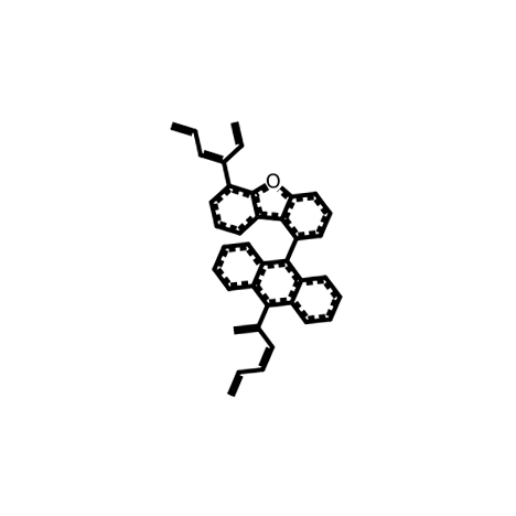 C=C/C=C\C(=C)c1c2ccccc2c(-c2cccc3oc4c(/C(C=C)=C/C=C)cccc4c23)c2ccccc12